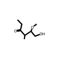 CCC(=O)C(C)C(CO)OC